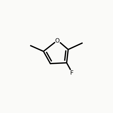 Cc1cc(F)c(C)o1